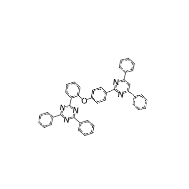 c1ccc(-c2cc(-c3ccccc3)nc(-c3ccc(Oc4ccccc4-c4nc(-c5ccccc5)nc(-c5ccccc5)n4)cc3)n2)cc1